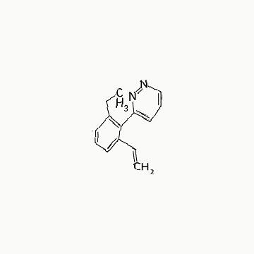 C=Cc1cc[c]c(CC)c1-c1cccnn1